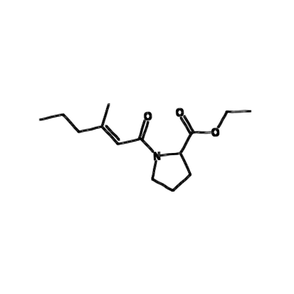 CCC/C(C)=C/C(=O)N1CCCC1C(=O)OCC